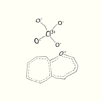 [O-][Cl+3]([O-])([O-])[O-].c1ccc2[o+]cccc2c1